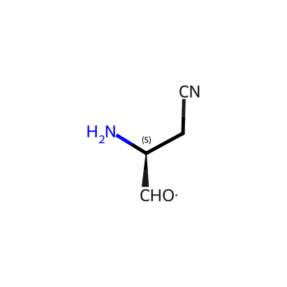 N#CC[C@H](N)[C]=O